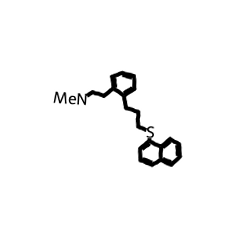 CNCCc1ccccc1CCCSc1cccc2ccccc12